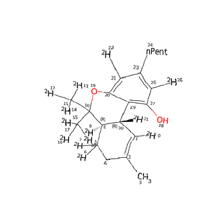 [2H]C1=C(C)CC([2H])([2H])[C@@]2([2H])C(C([2H])([2H])[2H])(C([2H])([2H])[2H])Oc3c([2H])c(CCCCC)c([2H])c(O)c3[C@]12[2H]